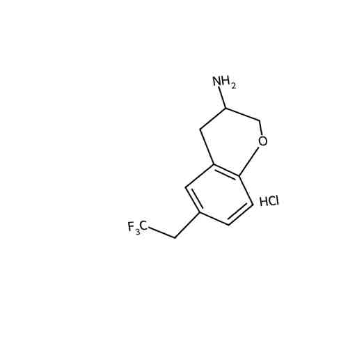 Cl.NC1COc2ccc(CC(F)(F)F)cc2C1